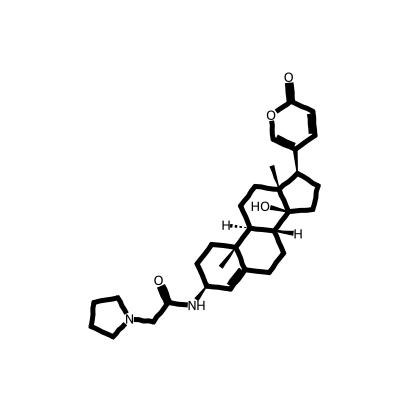 C[C@]12CC[C@H](NC(=O)CN3CCCC3)C=C1CC[C@@H]1[C@@H]2CC[C@]2(C)[C@@H](c3ccc(=O)oc3)CC[C@]12O